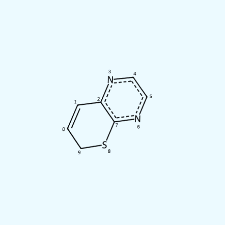 C1=Cc2nccnc2SC1